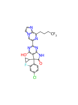 O=C1Nc2nc(-c3cn4ccnc4c(CCCC(F)(F)F)n3)nc(O)c2C1(c1ccc(Cl)cc1F)C1CC1